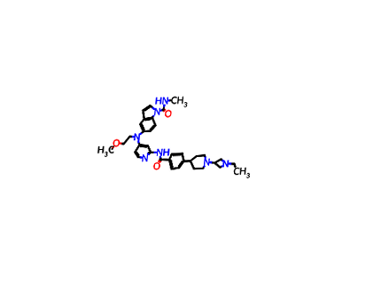 CCN1CC(N2CCC(c3ccc(C(=O)Nc4cc(N(CCOC)c5ccc6c(ccn6C(=O)NC)c5)ccn4)cc3)CC2)C1